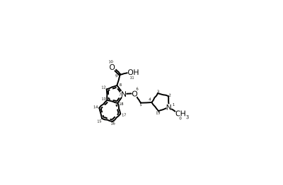 CN1CCC(COn2c(C(=O)O)cc3ccccc32)C1